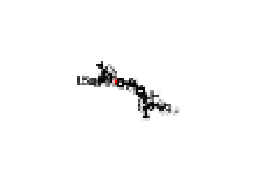 CC(C)(C)O[C@@H]1C[C@@H](C(=O)Nc2ccc(-c3cnc(-c4ccc(NC(=O)[C@@H]5C[C@@H](OC(C)(C)C)CN5C(=O)C5CC5)cc4)o3)cc2)N(C(=O)C2CC2)C1